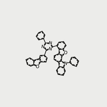 c1ccc(-c2nc(-c3ccc4oc5ccccc5c4c3)nc(-c3cccc4oc5c(ccc6c7ccccc7n(-c7ccccc7)c65)c34)n2)cc1